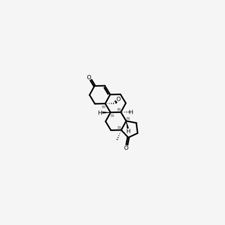 C[C@]12CC[C@H]3[C@@H](CCC4=CC(=O)CC[C@@]43C=O)[C@@H]1CCC2=O